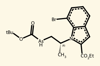 CCOC(=O)c1cc2cccc(Br)c2n1[C@H](C)C[AsH]C(=O)OC(C)(C)C